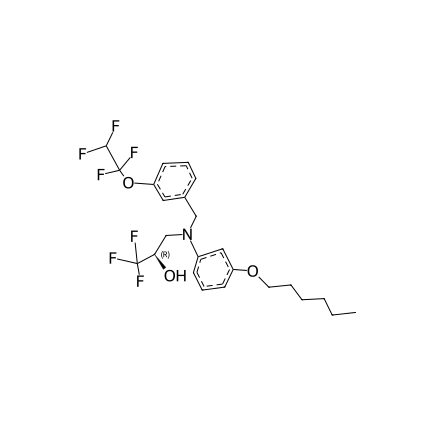 CCCCCCOc1cccc(N(Cc2cccc(OC(F)(F)C(F)F)c2)C[C@@H](O)C(F)(F)F)c1